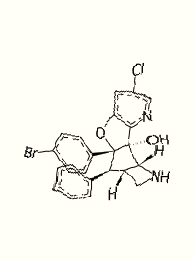 O[C@@]12c3ncc(Cl)cc3O[C@@]1(c1ccc(Br)cc1)[C@H](c1ccccc1)[C@H]1CN[C@H]12